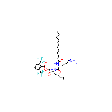 CCCCCCCCCCCC(=O)N[C@@H](CCCCN)C(=O)N[C@@H](CCCCC)C(=O)COC(=O)c1c(C(F)(F)F)cccc1C(F)(F)F